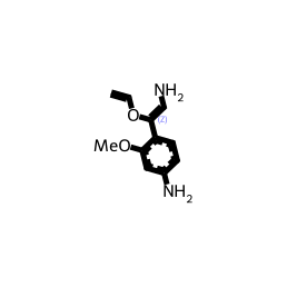 C=CO/C(=C\N)c1ccc(N)cc1OC